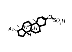 CC(=O)[C@H]1CC[C@H]2[C@@H]3CCC4CC(OS(=O)(=O)O)=CC[C@]4(C)[C@H]3CC[C@]12C